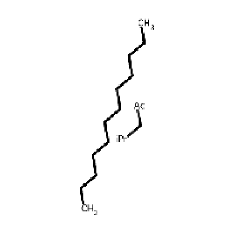 CC(=O)CC(C)C.CCCCCCCCCCCC